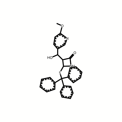 COc1ccc(C(O)C2C(=O)NC2SC(c2ccccc2)(c2ccccc2)c2ccccc2)cn1